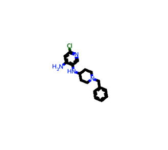 Nc1cc(Cl)ncc1NC1CCN(Cc2ccccc2)CC1